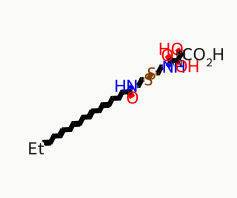 CCC=CCC=CCC=CCC=CCC=CCCCC(=O)NCCSSCCNC(=O)[C@H](O)[C@@H](O)C(=O)O